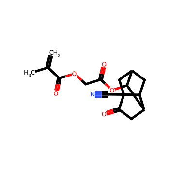 C=C(C)C(=O)OCC(=O)OC1C2CC3C1CC(=O)C3(C#N)C2